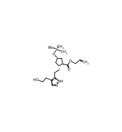 C=CCOC(=O)N1C[C@H](O[Si](C)(C)C(C)(C)C)C[C@H]1CCc1[nH]ncc1CCO